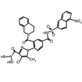 CCCCN(CCCC)C(=O)c1nn(-c2ccc(C(=O)NS(=O)(=O)c3ccc4c([N+](=O)[O-])cccc4c3)cc2C(=O)N2CCc3ccccc3C2)c(C)c1Cl